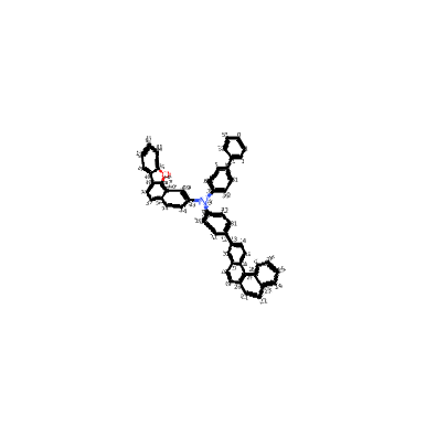 c1ccc(-c2ccc(N(c3ccc(-c4ccc5c(ccc6ccc7ccccc7c65)c4)cc3)c3ccc4ccc5c6ccccc6oc5c4c3)cc2)cc1